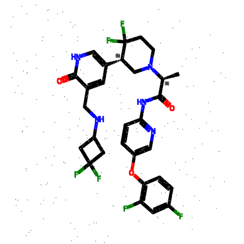 C[C@@H](C(=O)Nc1ccc(Oc2ccc(F)cc2F)cn1)N1CCC(F)(F)[C@@H](c2c[nH]c(=O)c(CNC3CC(F)(F)C3)c2)C1